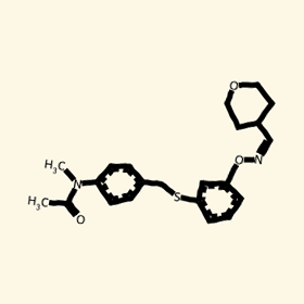 CC(=O)N(C)c1ccc(CSc2cccc(O/N=C\C3CCOCC3)c2)cc1